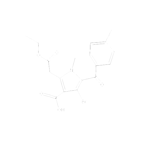 CCOC(=O)Cc1c(C(=O)O)c(Br)c(C(=O)c2ccc(C)cc2)n1C